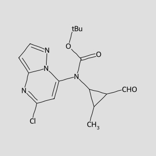 CC1C(C=O)C1N(C(=O)OC(C)(C)C)c1cc(Cl)nc2ccnn12